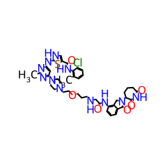 Cc1nc(Nc2ncc(C(=O)Nc3c(C)cccc3Cl)s2)cc(N2CCN(CCOCCCNCC(=O)Nc3cccc4c3CN([C@H]3CCCC(=O)NC3=O)C4=O)CC2)n1